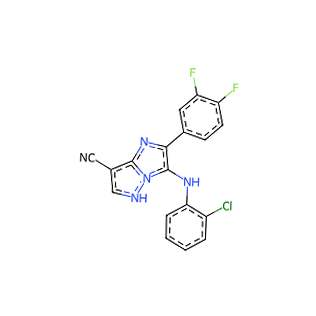 N#Cc1c[nH]n2c(Nc3ccccc3Cl)c(-c3ccc(F)c(F)c3)nc12